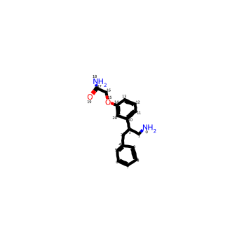 NCC(Cc1ccccc1)c1cccc(OCC(N)=O)c1